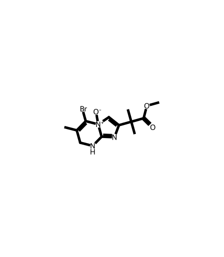 COC(=O)C(C)(C)C1=C[N+]2([O-])C(=N1)NCC(C)=C2Br